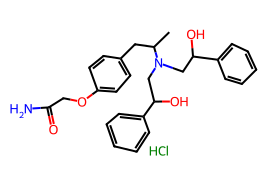 CC(Cc1ccc(OCC(N)=O)cc1)N(CC(O)c1ccccc1)CC(O)c1ccccc1.Cl